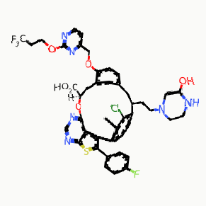 Cc1c2ccc(c1Cl)C(CCN1CCNC(O)C1)Cc1ccc(OCc3ccnc(OCCC(F)(F)F)n3)c(c1)C[C@H](C(=O)O)Oc1ncnc3sc(-c4ccc(F)cc4)c-2c13